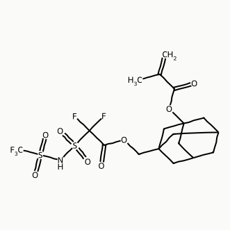 C=C(C)C(=O)OC12CC3CC(CC(COC(=O)C(F)(F)S(=O)(=O)NS(=O)(=O)C(F)(F)F)(C3)C1)C2